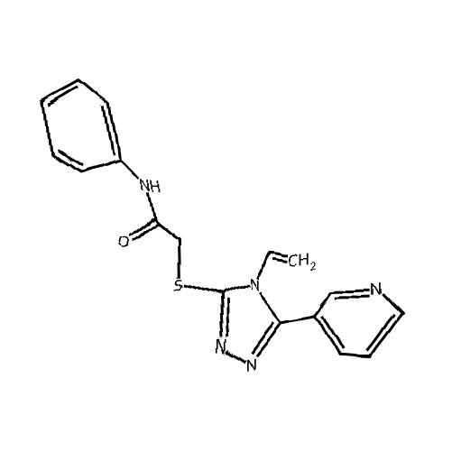 C=Cn1c(SCC(=O)Nc2ccccc2)nnc1-c1cccnc1